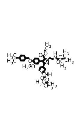 CCOC(=O)c1c(-c2ccc(OCc3ccc(C(C)C)cc3)c(OC)c2)c(-c2ccnc(NC(=O)OC(C)(C)C)c2)nn1CCNC(=O)OC(C)(C)C